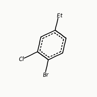 CCc1ccc(Br)c(Cl)c1